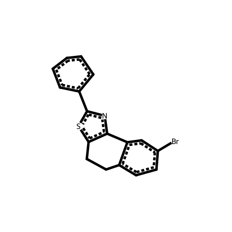 Brc1ccc2c(c1)-c1nc(-c3ccccc3)sc1CC2